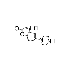 Cl.O=c1ccc2cc(N3CCNCC3)ccc2o1